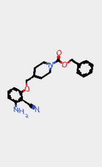 N#Cc1c(N)cccc1OCC1CCN(C(=O)OCc2ccccc2)CC1